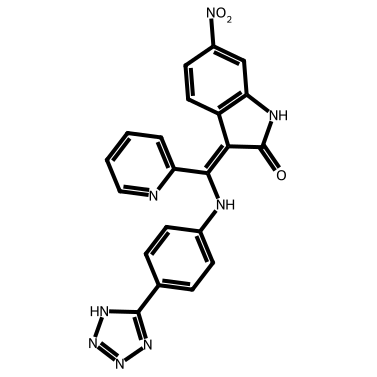 O=C1Nc2cc([N+](=O)[O-])ccc2/C1=C(/Nc1ccc(-c2nnn[nH]2)cc1)c1ccccn1